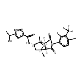 Cc1ccc(N2C(=O)[C@@H]3[C@H](C2=O)[C@]2(C)O[C@@]3(C)C[C@@H]2NC(=O)c2cc(C(C)O)[nH]n2)c(F)c1C(F)(F)F